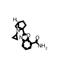 NC(=O)c1cccc2nc(C34CC[C@H](CN3C3CC3)C4)oc12